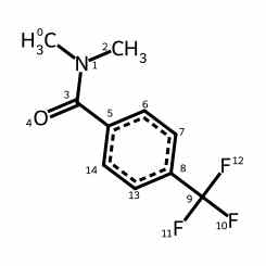 CN(C)C(=O)c1ccc(C(F)(F)F)cc1